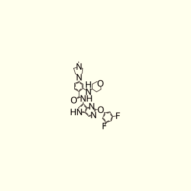 CN1CCN(c2ccc(C(=O)Nc3c[nH]c4cnc(Oc5cc(F)cc(F)c5)nc34)c(NC3CCOCC3)c2)CC1